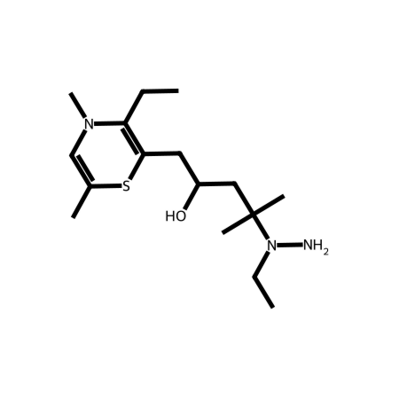 CCC1=C(CC(O)CC(C)(C)N(N)CC)SC(C)=CN1C